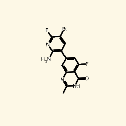 Cc1nc2cc(-c3cc(Br)c(F)nc3N)cc(F)c2c(=O)[nH]1